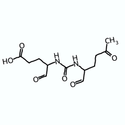 CC(=O)CCC(C=O)NC(=O)NC(C=O)CCC(=O)O